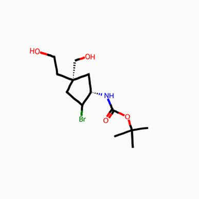 CC(C)(C)OC(=O)N[C@H]1C[C@](CO)(CCO)CC1Br